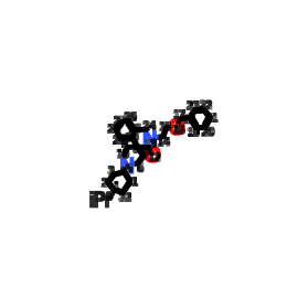 CC(C)[C@H]1CC[C@@H](N2CCC3(CC2)C(=O)N(CCOCc2ccccc2)Cc2ccccc23)CC1